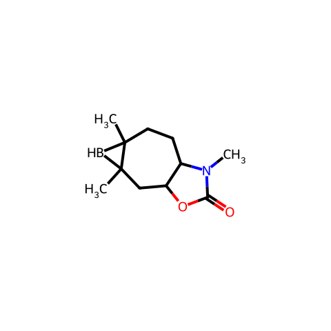 CN1C(=O)OC2CC3(C)BC3(C)CCC21